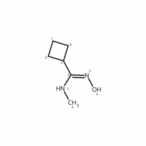 CN/C(=N\O)C1CCC1